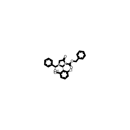 C[C@H](c1ccccc1)N1CC(=O)N(C(=O)OCc2ccccc2)[C@@H]1c1c(Cl)cccc1Cl